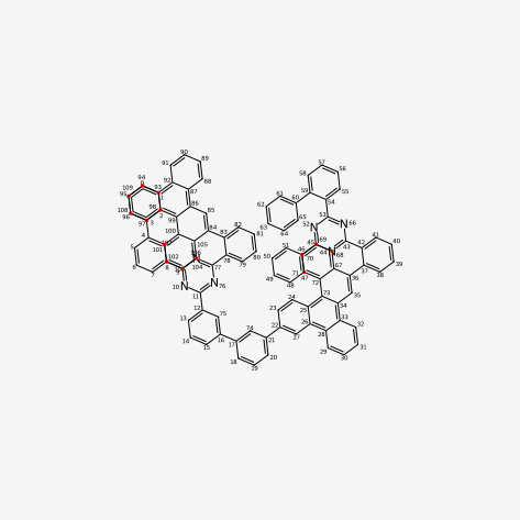 c1ccc(-c2cccc(-c3nc(-c4cccc(-c5cccc(-c6ccc7c(c6)c6ccccc6c6cc(-c8ccccc8-c8nc(-c9ccccc9)nc(-c9ccccc9-c9ccccc9)n8)c8ccccc8c76)c5)c4)nc(-c4ccccc4-c4cc5c6ccccc6c6ccccc6c5c5ccccc45)n3)c2)cc1